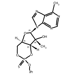 Cc1ncnc2c1ncn2[C@@H]1O[C@@H]2COP(=S)(OC(C)C)O[C@H]2[C@@]1(C)O